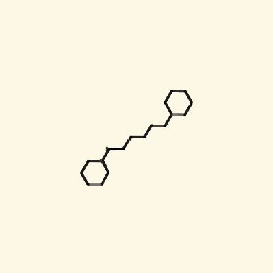 [C](CCCCCC1CCCCC1)C1CCCCC1